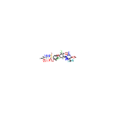 C=C(O)CCNS(=O)(=O)c1cc(Oc2c(Cl)cc(-n3nc(C(F)F)c(=O)[nH]c3=O)cc2Cl)ccc1O